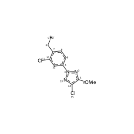 COc1nn(-c2ccc(CBr)c(Cl)c2)nc1Cl